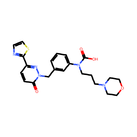 O=C(O)N(CCCN1CCOCC1)c1cccc(Cn2nc(-c3nccs3)ccc2=O)c1